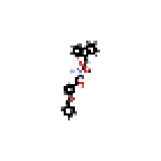 O=C(NCCC(=O)c1cccc(OCC2CCCCC2)c1)OCC1c2ccccc2-c2ccccc21